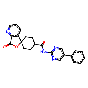 O=C1O[C@]2(CC[C@H](C(=O)Nc3ncc(-c4ccccc4)cn3)CC2)c2cccnc21